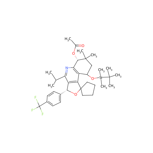 CC(=O)O[C@H]1c2nc(C(C)C)c3c(c2C(O[Si](C)(C)C(C)(C)C)CC1(C)C)C1(CCCC1)O[C@@H]3c1ccc(C(F)(F)F)cc1